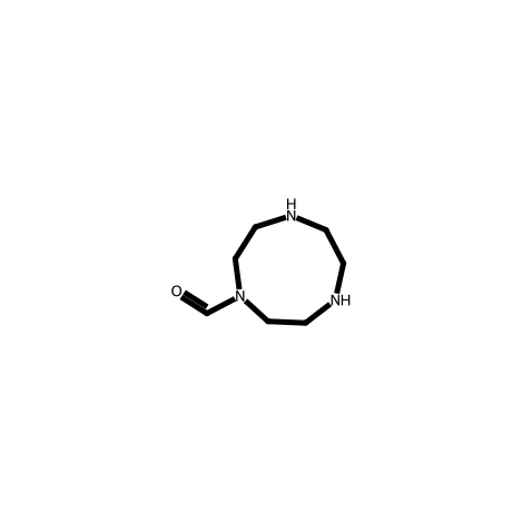 O=CN1CCNCCNCC1